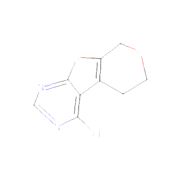 Clc1ncnc2sc3c(c12)CCOC3